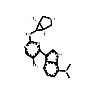 CP(C)c1cccc2c(-c3nc(NC4[C@H]5CNC[C@@H]45)ncc3C(F)(F)F)c[nH]c12